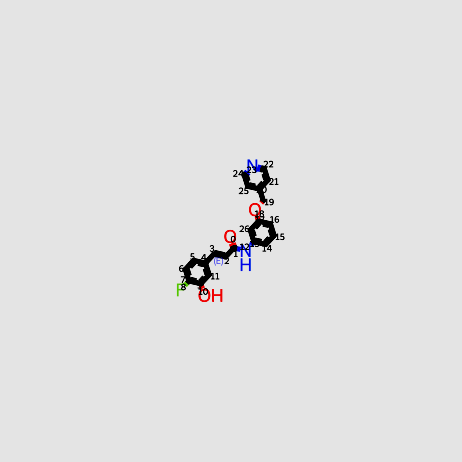 O=C(/C=C/c1ccc(F)c(O)c1)Nc1cccc(OCc2ccncc2)c1